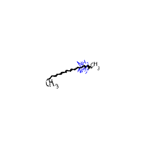 CCCCCCCCCCCCCCC(N)(N)CCCCC